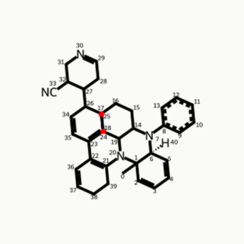 CC12C=CC=C[C@@H]1N(c1ccccc1)C1CCCCC1N2C1=C(C2=CCC(C3CC=NCC3C#N)C=C2)C=CCC1